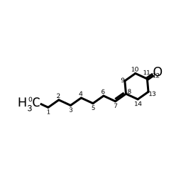 CCCCCCCC=C1CCC(=O)CC1